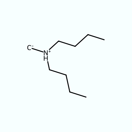 [CH2-][NH+](CCCC)CCCC